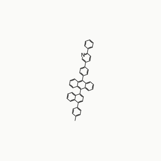 Cc1ccc(-c2ccc(-c3c4ccccc4c(-c4ccc(-c5ccc(-c6ccccc6)nc5)cc4)c4ccccc34)c3ccccc23)cc1